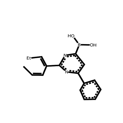 C/C=C\C(=C/CC)c1nc(B(O)O)cc(-c2ccccc2)n1